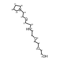 OCCOCCOCCNCCOCCN1CCCC1